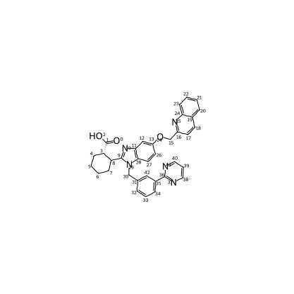 O=C(O)[C@H]1CCCCC1c1nc2cc(OCc3ccc4ccccc4n3)ccc2n1Cc1cccc(-c2ncccn2)c1